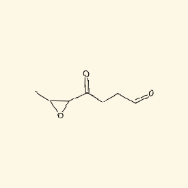 CC1OC1C(=O)CCC=O